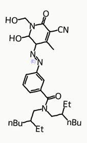 CCCCC(CC)CN(CC(CC)CCCC)C(=O)c1cccc(/N=N/C2C(C)=C(C#N)C(=O)N(CO)C2O)c1